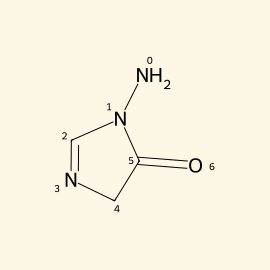 NN1C=NCC1=O